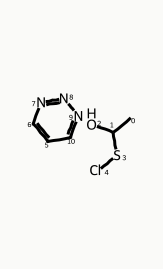 CC(O)SCl.c1cnnnc1